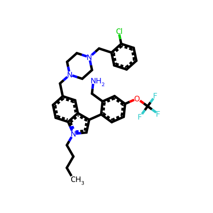 CCCCn1cc(-c2ccc(OC(F)(F)F)cc2CN)c2cc(CN3CCN(Cc4ccccc4Cl)CC3)ccc21